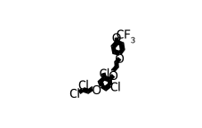 FC(F)(F)Oc1ccc(OCCCOc2c(Cl)cc(OCC=C(Cl)Cl)cc2Cl)cc1